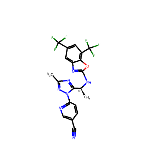 Cc1nc([C@H](C)Nc2nc3cc(C(F)(F)F)cc(C(F)(F)F)c3o2)n(-c2ccc(C#N)cn2)n1